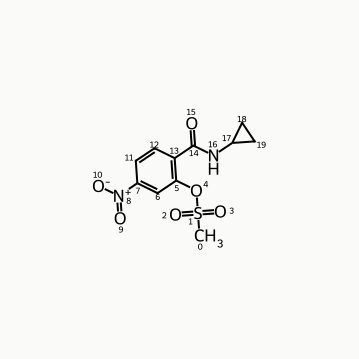 CS(=O)(=O)Oc1cc([N+](=O)[O-])ccc1C(=O)NC1CC1